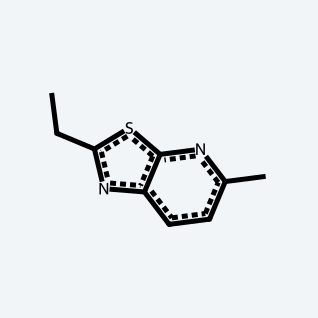 CCc1nc2ccc(C)nc2s1